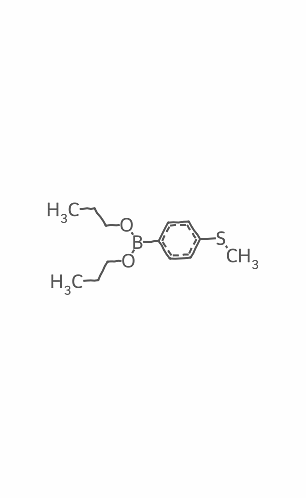 CCCOB(OCCC)c1ccc(SC)cc1